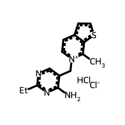 CCc1ncc(C[n+]2ccc3ccsc3c2C)c(N)n1.Cl.[Cl-]